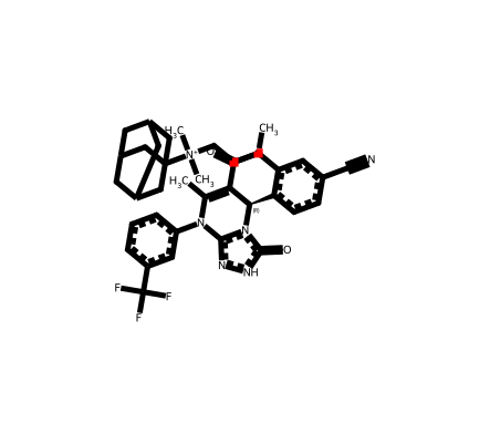 COC(=O)C1=C(C)N(c2cccc(C(F)(F)F)c2)c2n[nH]c(=O)n2[C@@H]1c1ccc(C#N)cc1CCC[N+](C)(C)C12CC3CC(CC(C3)C1)C2